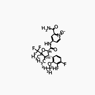 [2H]C([2H])([2H])Oc1c([C@@H]2[C@@H](C)[C@@](C)(C(F)(F)F)O[C@H]2C(=O)Nc2cc[n+]([O-])c(C(N)=O)c2)ccc(F)c1F